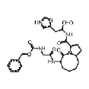 O=CC(Cc1c[nH]cn1)NC(=O)C1CCC2CCCCC(NC(=O)CNC(=O)OCc3ccccc3)C(=O)N21